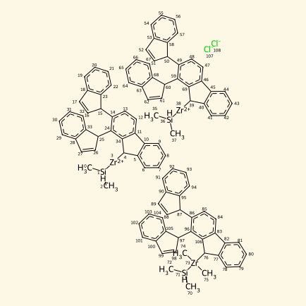 C[SiH](C)[Zr+2][CH]1c2ccccc2-c2ccc(C3C=Cc4ccccc43)c(C3C=Cc4ccccc43)c21.C[SiH](C)[Zr+2][CH]1c2ccccc2-c2ccc(C3C=Cc4ccccc43)c(C3C=Cc4ccccc43)c21.C[SiH](C)[Zr]([CH3])([CH3])[CH]1c2ccccc2-c2ccc(C3C=Cc4ccccc43)c(C3C=Cc4ccccc43)c21.[Cl-].[Cl-]